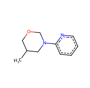 CC1COCN(c2ccccn2)C1